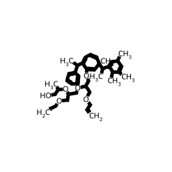 C=CCOCC(COC1=CC(C)(C(C)C2=CC(C)C=C(C)C2C)C=CC=C1C(C)c1ccccc1)OCC(COCC=C)OC(C)CO